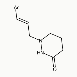 CC(=O)/C=C/CN1CCCC(=O)N1